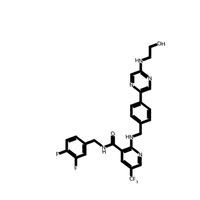 O=C(NCc1ccc(F)c(F)c1)c1cc(C(F)(F)F)cnc1NCc1ccc(-c2cnc(NCCO)cn2)cc1